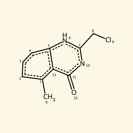 Cc1cccc2[nH]c(CCl)nc(=O)c12